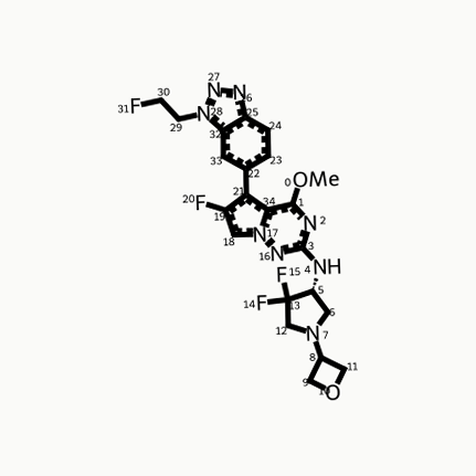 COc1nc(N[C@@H]2CN(C3COC3)CC2(F)F)nn2cc(F)c(-c3ccc4nnn(CCF)c4c3)c12